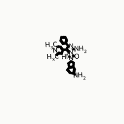 Cc1cc(-c2c(-c3ccccc3)nc(N)[n+]3c(=O)n(C4Cc5ccc(N)cc5C4)[nH]c23)cc(C)n1